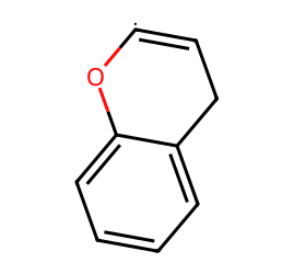 [C]1=CCc2ccccc2O1